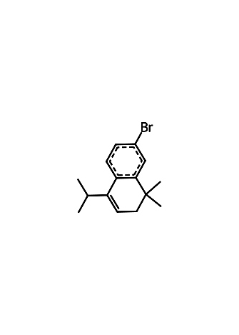 CC(C)C1=CCC(C)(C)c2cc(Br)ccc21